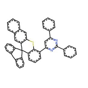 c1ccc(-c2cc(-c3cccc4c3Sc3cc5ccccc5cc3C43c4ccccc4-c4ccccc43)nc(-c3ccccc3)n2)cc1